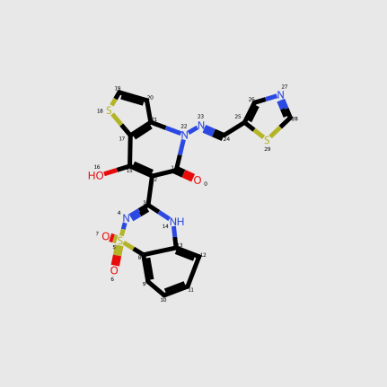 O=c1c(C2=NS(=O)(=O)c3ccccc3N2)c(O)c2sccc2n1N=Cc1cncs1